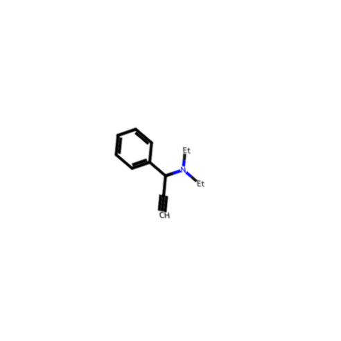 C#CC(c1ccccc1)N(CC)CC